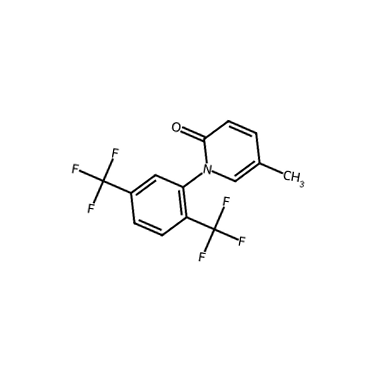 Cc1ccc(=O)n(-c2cc(C(F)(F)F)ccc2C(F)(F)F)c1